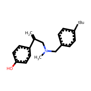 C=C(CN(C)Cc1ccc(C(C)(C)C)cc1)c1ccc(O)cc1